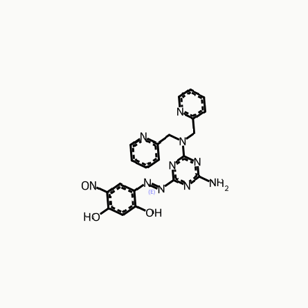 Nc1nc(/N=N/c2cc(N=O)c(O)cc2O)nc(N(Cc2ccccn2)Cc2ccccn2)n1